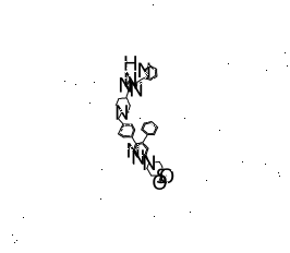 O=S1(=O)CCN(c2cc(-c3ccccc3)c(-c3ccc(CN4CCC(c5n[nH]c(-c6ccccn6)n5)CC4)cc3)nn2)CC1